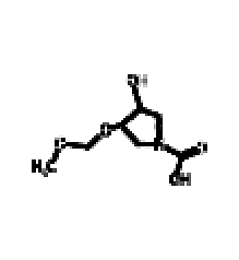 COCOC1CN(C(=O)O)CC1O